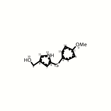 COc1ccc(Sc2cc(CO)c[nH]2)cc1